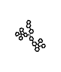 c1ccc(-c2c(-c3ccccc3)c3cc(-c4ccc(N(c5cccc(-c6ccc7ccccc7c6)c5)c5ccc6c(c5)-c5ccccc5C6(c5ccccc5)c5ccccc5)cc4)ccc3c3ccccc23)cc1